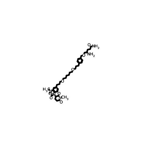 CN1C(=O)CCC(N(C=O)c2ccc(CCCOCCCCCCOCCCc3ccc(COC[C@@H](N)CCC(N)=O)cc3)cc2N(C)C)C1=O